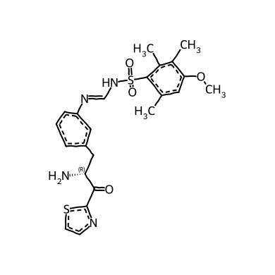 COc1cc(C)c(S(=O)(=O)NC=Nc2cccc(C[C@@H](N)C(=O)c3nccs3)c2)c(C)c1C